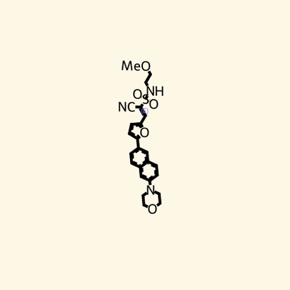 COCCNS(=O)(=O)/C(C#N)=C/c1ccc(-c2ccc3cc(N4CCOCC4)ccc3c2)o1